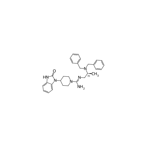 C[C@@H](CN=C(N)N1CCC(n2c(=O)[nH]c3ccccc32)CC1)N(Cc1ccccc1)Cc1ccccc1